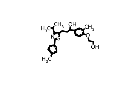 Cc1ccc(-c2nc(C(C)C)c(CCC(O)c3ccc(OCCO)c(C)c3)s2)cc1